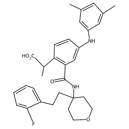 Cc1cc(C)cc(Nc2ccc(C(C)C(=O)O)c(C(=O)NC3(CCc4ccccc4F)CCOCC3)c2)c1